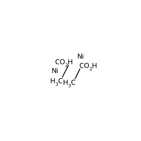 CC(=O)O.CC(=O)O.[Ni].[Ni]